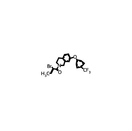 CC=C(Br)C(=O)N1CCc2ccc(Oc3ccc(C(F)(F)F)cc3)cc2C1